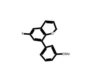 COc1cccc(-c2cc(F)cc3c2O[CH]C=C3)c1